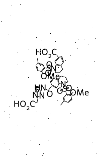 COc1ccc(C)cc1S(=O)(=O)N1CCCc2ccc(C(=O)Nc3nc(CC(=O)O)ns3)cc21.COc1ccc(C)cc1S(=O)(=O)N1CCCc2ccc(C(=O)O)cc21